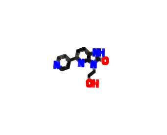 O=c1[nH]c2ccc(-c3ccncc3)nc2n1CCO